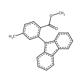 COC(=O)c1ccc(C)cc1-n1c2ccccc2c2ccccc21